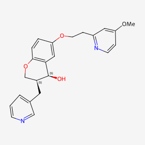 COc1ccnc(CCOc2ccc3c(c2)[C@@H](O)[C@@H](Cc2cccnc2)CO3)c1